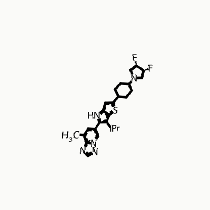 Cc1cc(-c2[nH]c3cc(C4CCC(N5C[C@@H](F)[C@@H](F)C5)CC4)sc3c2C(C)C)cn2ncnc12